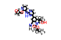 CC(C)(C)OC(=O)N1C[C@](C)(CO)c2cc(-c3ccnc(Nc4cccnc4O[C@H]4CCOC4)n3)cc(C#N)c21